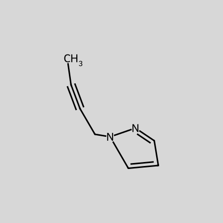 CC#CCn1cccn1